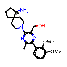 COc1cccc(-c2nc(CO)c(N3CCC4(CCC[C@H]4N)CC3)nc2C)c1OC